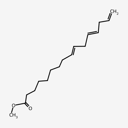 C=CCC=CCC=CCCCCCCCC(=O)OC